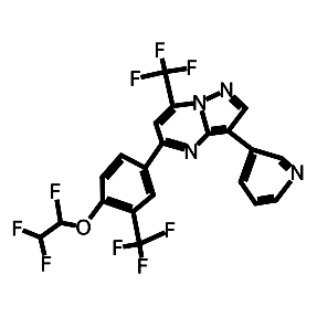 FC(F)C(F)Oc1ccc(-c2cc(C(F)(F)F)n3ncc(-c4cccnc4)c3n2)cc1C(F)(F)F